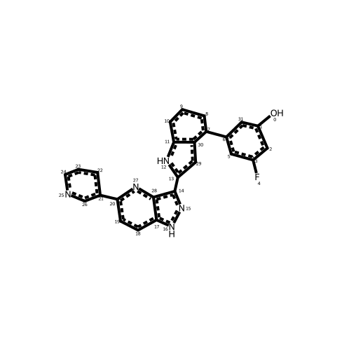 Oc1cc(F)cc(-c2cccc3[nH]c(-c4n[nH]c5ccc(-c6cccnc6)nc45)cc23)c1